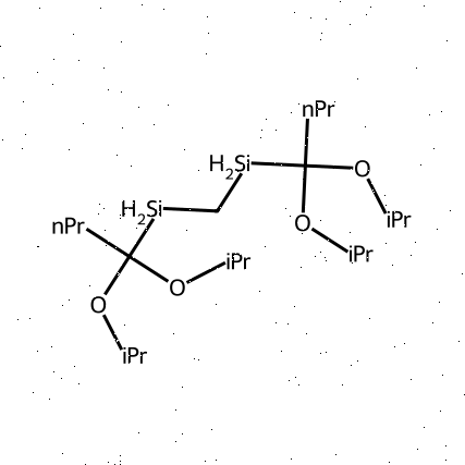 CCCC(OC(C)C)(OC(C)C)[SiH2]C[SiH2]C(CCC)(OC(C)C)OC(C)C